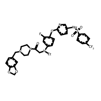 CCN(CC(=O)N1CCN(Cc2ccc3c(c2)OCO3)CC1)c1ccc(Oc2ccc(NS(=O)(=O)c3ccc(C(F)(F)F)cc3)cn2)c(F)c1